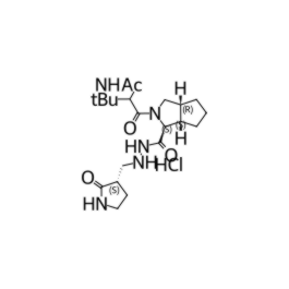 CC(=O)NC(C(=O)N1C[C@@H]2CCC[C@@H]2[C@H]1C(=O)NNC[C@@H]1CCNC1=O)C(C)(C)C.Cl